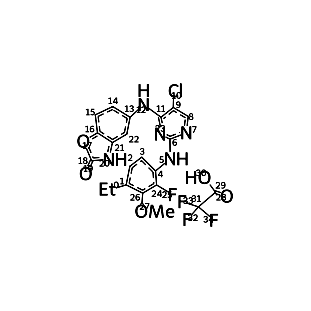 CCc1ccc(Nc2ncc(Cl)c(Nc3ccc4oc(=O)[nH]c4c3)n2)c(F)c1OC.O=C(O)C(F)(F)F